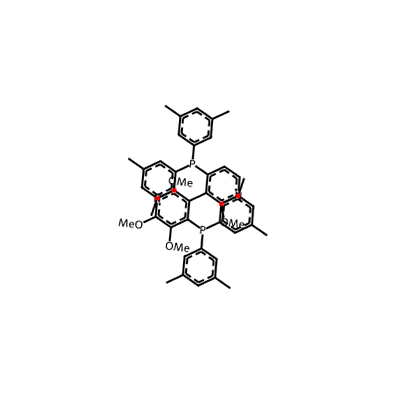 COc1nc(OC)c(-c2c(P(c3cc(C)cc(C)c3)c3cc(C)cc(C)c3)ccnc2OC)c(P(c2cc(C)cc(C)c2)c2cc(C)cc(C)c2)c1OC